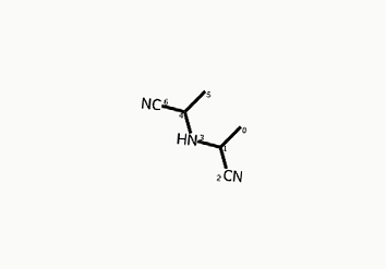 CC(C#N)NC(C)C#N